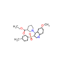 CCOC(=O)C1CCCN(c2c(S(=O)(=O)c3ccc(C)cc3)cnc3ccc(OC)cc23)C1